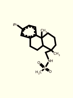 CC(C)c1ccc2c(c1)CCC1C(C)(CNS(C)(=O)=O)CCCC21C